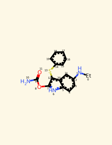 CCNc1ccc2[nH]c(OC(N)=O)c(Sc3ccccc3)c2c1